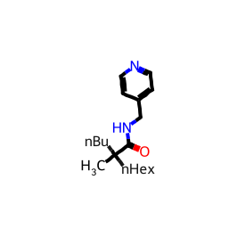 CCCCCCC(C)(CCCC)C(=O)NCc1ccncc1